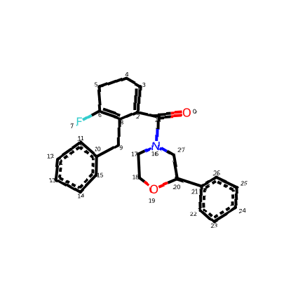 O=C(C1=CC[CH]C(F)=C1Cc1ccccc1)N1CCOC(c2ccccc2)C1